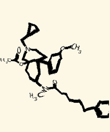 COc1cccc(C23CCN(CC4CC4)CC2(OC(C)=O)CCC(N(C)C(=O)CCCCCc2ccccc2)C3)c1